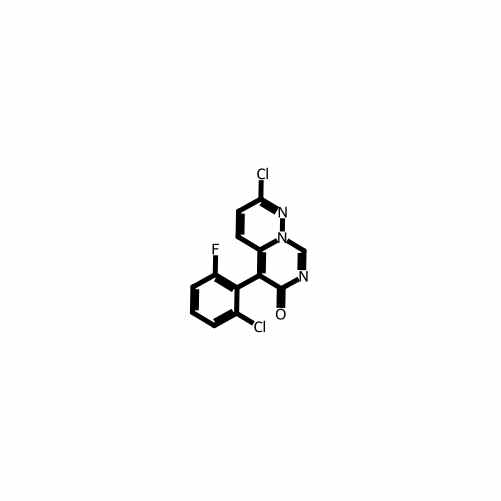 O=c1ncn2nc(Cl)ccc2c1-c1c(F)cccc1Cl